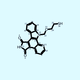 O=C1NC(=O)c2c1c1cccnc1c1c2c2ccccc2n1COCCS